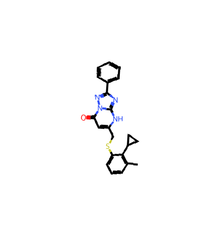 Cc1cccc(SCc2cc(=O)n3nc(-c4ccccc4)nc3[nH]2)c1C1CC1